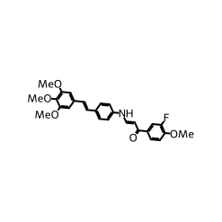 COc1ccc(C(=O)C=CNc2ccc(C=Cc3cc(OC)c(OC)c(OC)c3)cc2)cc1F